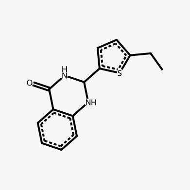 CCc1ccc(C2NC(=O)c3ccccc3N2)s1